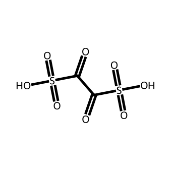 O=C(C(=O)S(=O)(=O)O)S(=O)(=O)O